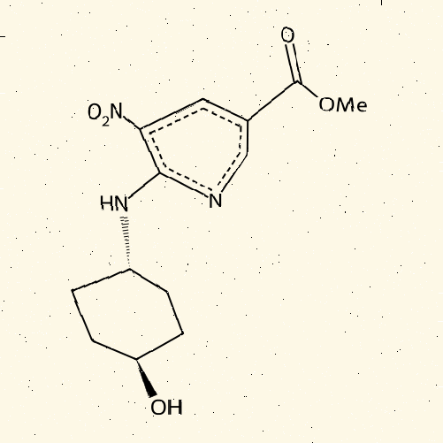 COC(=O)c1cnc(N[C@H]2CC[C@H](O)CC2)c([N+](=O)[O-])c1